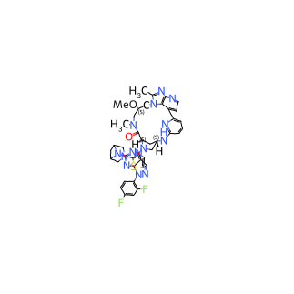 CO[C@H]1CN(C)C(=O)[C@@H]2C[C@@H](CN2c2nc(N3C4CC3CN(c3nccs3)C4)nc3c2cnn3-c2ccc(F)cc2F)Nc2cccc(n2)-c2ccnc3nc(C)n(c23)C1